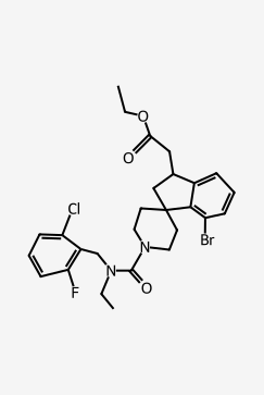 CCOC(=O)CC1CC2(CCN(C(=O)N(CC)Cc3c(F)cccc3Cl)CC2)c2c(Br)cccc21